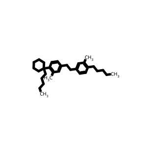 CCCCCc1ccc(CCc2ccc(C3(CCCCC)CCCCC3)c(C)c2)cc1C